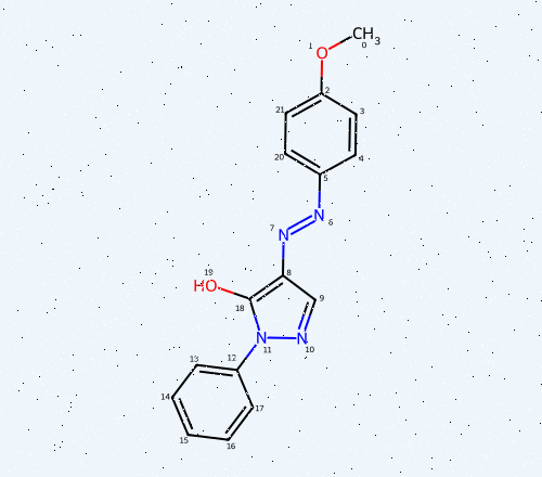 COc1ccc(N=Nc2cnn(-c3ccccc3)c2O)cc1